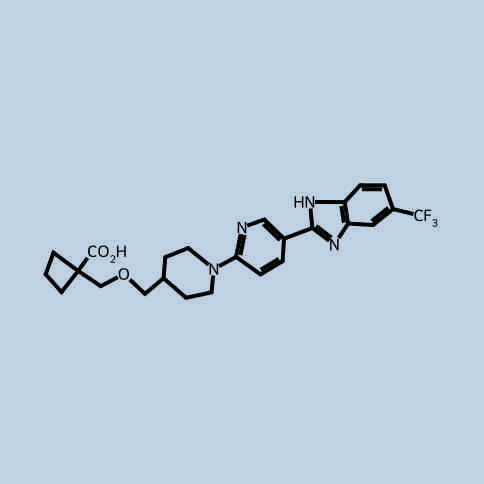 O=C(O)C1(COCC2CCN(c3ccc(-c4nc5cc(C(F)(F)F)ccc5[nH]4)cn3)CC2)CCC1